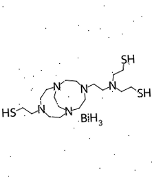 SCCN(CCS)CCN1CCN2CCN(CCS)CCN(CC1)CC2.[BiH3]